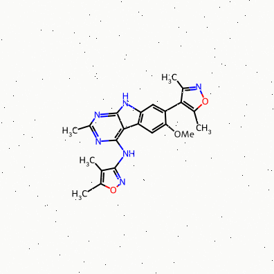 COc1cc2c(cc1-c1c(C)noc1C)[nH]c1nc(C)nc(Nc3noc(C)c3C)c12